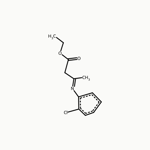 CCOC(=O)C/C(C)=N/c1ccccc1Cl